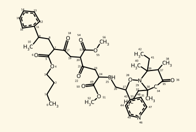 CCCCOC(=O)C(CC(C)c1ccccc1)C(=O)CC(C(=O)CC(BCC(ON1C(C)(CC)CC(=O)C(C)C1(C)CC)c1ccncc1)C(=O)OC)C(=O)OC